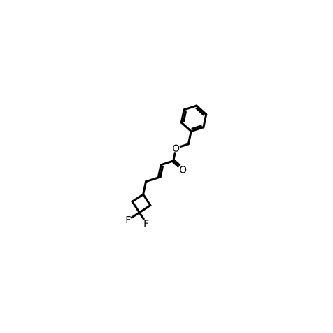 O=C(C=CCC1CC(F)(F)C1)OCc1ccccc1